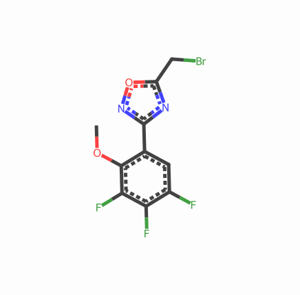 COc1c(-c2noc(CBr)n2)cc(F)c(F)c1F